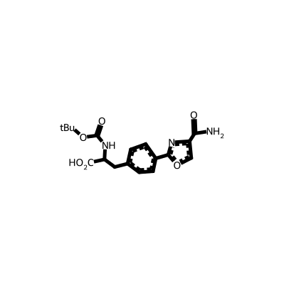 CC(C)(C)OC(=O)NC(Cc1ccc(-c2nc(C(N)=O)co2)cc1)C(=O)O